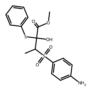 COC(=O)C(O)(Sc1ccccc1)C(C)S(=O)(=O)c1ccc(N)cc1